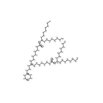 CCCCCCCCC(CCCCCCCC)OC(=O)CCCCCCCN(CCCCCCCC(=O)OC(CCCCCCCC)CCCCCCCC)CCCN1CCOCC1